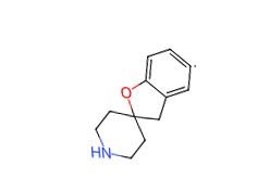 [c]1ccc2c(c1)CC1(CCNCC1)O2